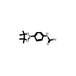 CC(=O)C(=O)Nc1ccc(B2OC(C)(C)C(C)(C)O2)cc1